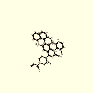 C=CC(=O)N1CCN(c2nc(=O)n(-c3c(C)ccnc3C(C)C)c3c4c(c(P)cc23)-c2c(ccc3ccccc23)CO4)[C@@H](C)C1